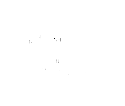 CC(C)(c1ccccc1)c1coc(-c2cnn3c2NC(c2ccccc2)CC3(C)C)n1